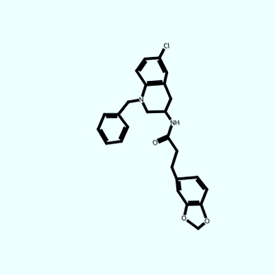 O=C(CCc1ccc2c(c1)OCO2)NC1Cc2cc(Cl)ccc2N(Cc2ccccc2)C1